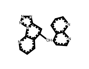 Oc1cc2nnnn2c2ncccc12.c1cnc2ncccc2c1